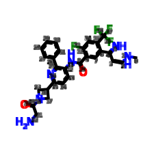 CN/C=C\C(=N)c1cc(C(=O)Nc2ccc(C3CN(C(=O)CN)C3)nc2-c2ccccc2)c(F)cc1C(F)(F)F